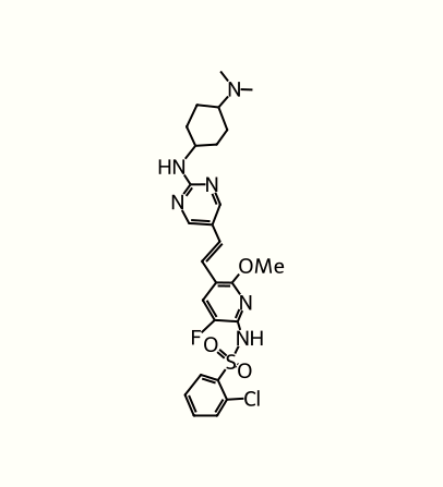 COc1nc(NS(=O)(=O)c2ccccc2Cl)c(F)cc1/C=C/c1cnc(NC2CCC(N(C)C)CC2)nc1